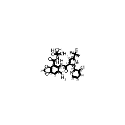 Cc1cc2c(c(C(=O)NC(C)(C)C)c1NC(=O)c1cc(C(F)(F)F)nn1-c1ncccc1Cl)OCO2